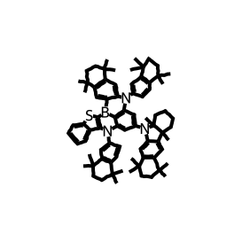 CC1(C)CCC(C)(C)c2cc(N3c4cc5c(cc4B4c6sc7ccccc7c6N(c6ccc7c(c6)C(C)(C)CCC7(C)C)c6cc(N7c8cc9c(cc8C8(C)CCCCC78C)C(C)(C)CCC9(C)C)cc3c64)C(C)(C)CCC5(C)C)ccc21